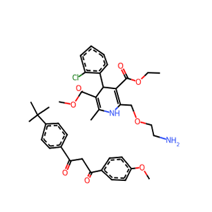 CCOC(=O)C1=C(COCCN)NC(C)=C(C(=O)OC)C1c1ccccc1Cl.COc1ccc(C(=O)CC(=O)c2ccc(C(C)(C)C)cc2)cc1